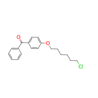 O=C(c1ccccc1)c1ccc(OCCCCCCCl)cc1